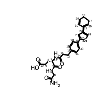 NC(=O)CNC(=O)[C@H](CCC(=O)O)NC(=O)CCc1ccc(-c2cc(C3=CCCC=C3)cs2)cc1